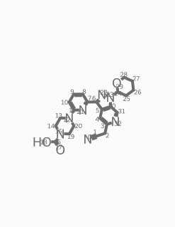 N#CCc1cc2c(-c3cccc(N4CCN(C(=O)O)CC4)n3)nn(C3CCCCO3)c2cn1